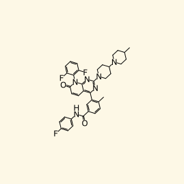 Cc1ccc(C(=O)Nc2ccc(F)cc2)cc1-c1nc(N2CCC(N3CCC(C)CC3)CC2)nc2c1ccc(=O)n2-c1c(F)cccc1F